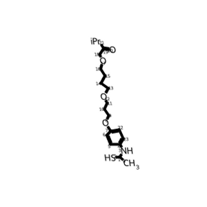 CC(S)Nc1ccc(OCCCOCCCCOCC(=O)C(C)C)cc1